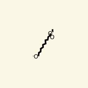 CCOC(=O)CCCCCCCCCC[O]